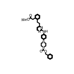 COC(=O)Cc1ccccc1CCc1ccnc(Nc2ccc(N3CCN(C(=O)OCc4ccccc4)CC3)cc2)n1